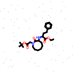 CCOC(=O)C(CCc1ccccc1)NC1CCCCCCN(CC(=O)OC(C)(C)C)C1=O